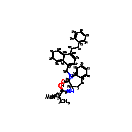 CN[C@@H](C)C(=O)N[C@H]1CCc2ccccc2N(Cc2ccc(CCc3ccccc3)c3ccccc23)C1=O